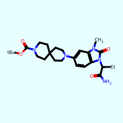 CCC(C(N)=O)n1c(=O)n(C)c2cc(N3CCC4(CCN(C(=O)OC(C)(C)C)CC4)CC3)ccc21